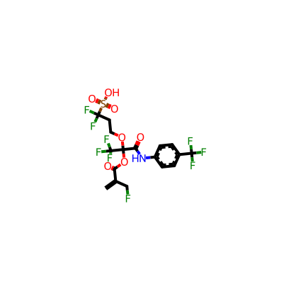 C=C(CF)C(=O)OC(OCCC(F)(F)S(=O)(=O)O)(C(=O)Nc1ccc(C(F)(F)F)cc1)C(F)(F)F